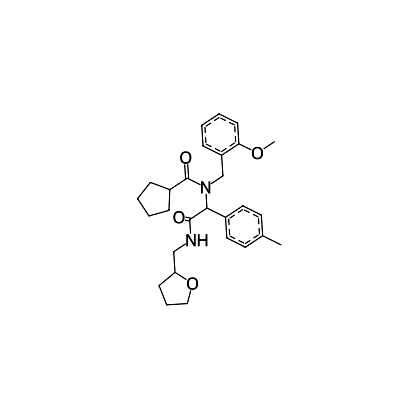 COc1ccccc1CN(C(=O)C1CCCC1)C(C(=O)NCC1CCCO1)c1ccc(C)cc1